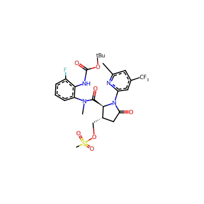 Cc1cc(C(F)(F)F)cc(N2C(=O)C[C@H](COS(C)(=O)=O)[C@H]2C(=O)N(C)c2cccc(F)c2NC(=O)OC(C)(C)C)n1